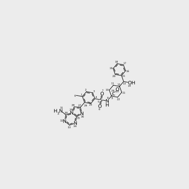 Cc1ccc(S(=O)(=O)NC23CCC(C(O)c4ccccc4)(CC2)OC3)cc1-c1cn2c(N)ncnc2n1